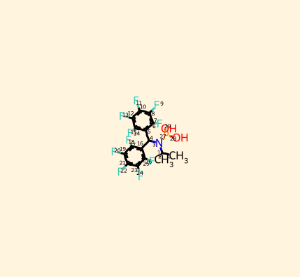 CC(C)N(C(c1c(F)c(F)c(F)c(F)c1F)c1c(F)c(F)c(F)c(F)c1F)P(O)O